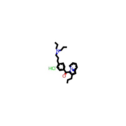 CCCc1cc2ccccn2c1C(=O)c1ccc(CCCN(CCC)CCC)cc1.Cl